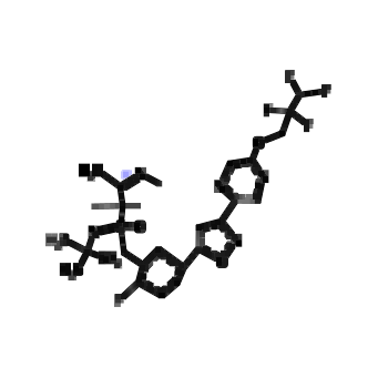 BC(B)(B)N=S(=O)(Cc1cc(-c2cc(-c3cnc(OCC(F)(F)C(F)F)cn3)no2)ccc1F)C(C)(C)/C(N)=N\C